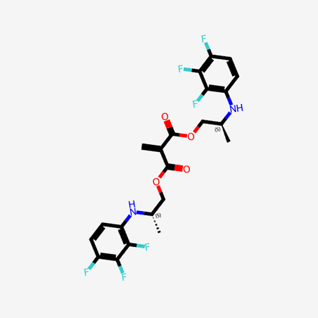 C=C(C(=O)OC[C@H](C)Nc1ccc(F)c(F)c1F)C(=O)OC[C@H](C)Nc1ccc(F)c(F)c1F